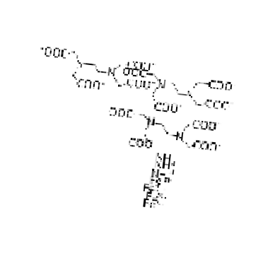 N.N.N.O=C([O-])CN(CCN(CC(=O)[O-])CC(=O)[O-])CC(=O)[O-].O=C([O-])CN(CCN(CC(=O)[O-])CC(=O)[O-])CC(=O)[O-].O=C([O-])CN(CCN(CC(=O)[O-])CC(=O)[O-])CC(=O)[O-].[Fe+3].[Fe+3].[Fe+3].[Fe+3]